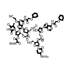 CNC(=O)C(=O)OC1C[C@H](n2cc(C)c(=O)[nH]c2=O)O[C@@H]1CO[PH](=O)OC1C[C@H](n2cnc3c(OCCC#N)nc(NC(=O)COc4ccccc4)nc32)O[C@@H]1CO[PH](=O)OC1C[C@H](n2cnc3c(NC(=O)COc4ccccc4)ncnc32)O[C@@H]1CO[PH](=O)OC1C[C@H](n2ccc(NC(C)=O)nc2=O)O[C@@H]1CO